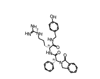 N=C(N)NCCC[C@@H](NC(=O)[C@@H](c1ccccc1)N1Cc2ccccc2C1=O)C(=O)NCc1ccc(O)cc1